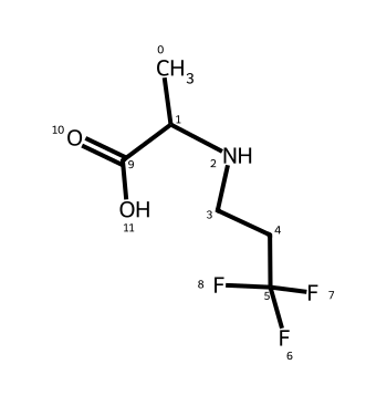 CC(NCCC(F)(F)F)C(=O)O